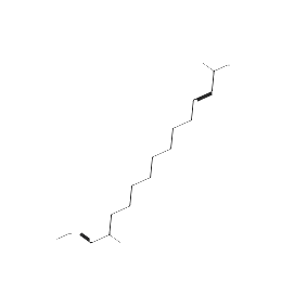 CCCCCC(/C=P/C)CCCCCCCC/C=C/C(CCC)CCCC